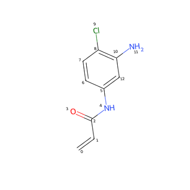 C=CC(=O)Nc1ccc(Cl)c(N)c1